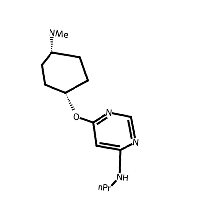 CCCNc1cc(O[C@H]2CC[C@@H](NC)CC2)ncn1